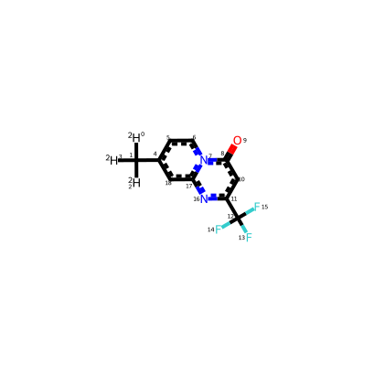 [2H]C([2H])([2H])c1ccn2c(=O)cc(C(F)(F)F)nc2c1